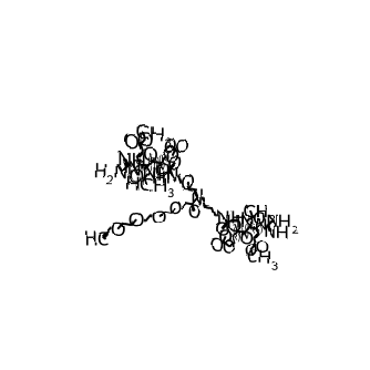 C#CCOCCOCCOCCOCCC(=O)N(CCCCNC(=O)O[C@@H]([C@@H]1OC(C(=O)OC)=C[C@H](NC(=N)N)[C@H]1NC(C)=O)[C@H]1COC(=O)O1)CCOCCNC(=O)O[C@@H]([C@@H]1OC(C(=O)OC)=C[C@H](NC(=N)N)[C@H]1NC(C)=O)[C@H]1COC(=O)O1